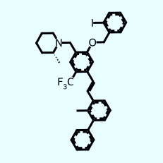 Cc1c(/C=C/c2cc(OCc3ccccc3I)c(CN3CCCC[C@H]3C)cc2C(F)(F)F)cccc1-c1ccccc1